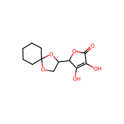 O=C1OC(C2COC3(CCCCC3)O2)C(O)=C1O